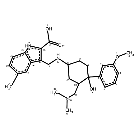 COc1cccc(C2(O)CCC(NCc3c(C(=O)O)[nH]c4ccc(C)cc34)CC2CN(C)C)c1